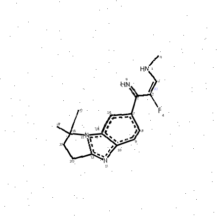 CN/C=C(/F)C(=N)c1ccc2nc3n(c2c1)C(C)(C)CC3